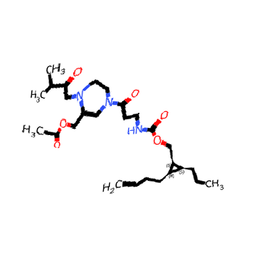 C=CCC[C@@H]1[C@H](CCC)[C@@H]1COC(=O)NCCC(=O)N1CCN(CC(=O)C(C)C)C(COC(C)=O)C1